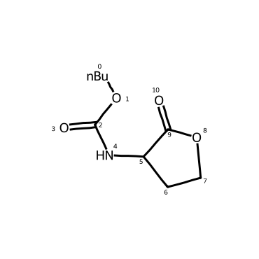 CCCCOC(=O)NC1CCOC1=O